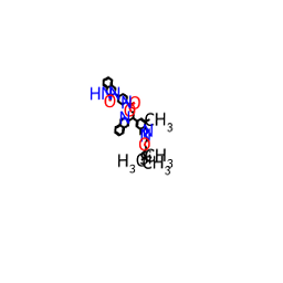 Cc1cc(C(COC(=O)N2CCC(N3Cc4ccccc4NC3=O)CC2)c2cc3ccccc3cn2)cc2cn(COCC[Si](C)(C)C)nc12